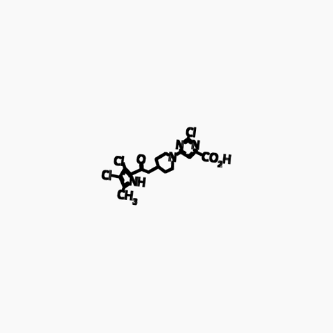 Cc1[nH]c(C(=O)CC2CCN(c3cc(C(=O)O)nc(Cl)n3)CC2)c(Cl)c1Cl